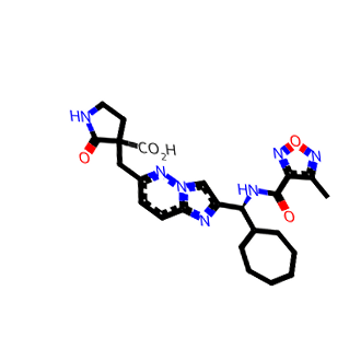 Cc1nonc1C(=O)N[C@H](c1cn2nc(CC3(C(=O)O)CCNC3=O)ccc2n1)C1CCCCCC1